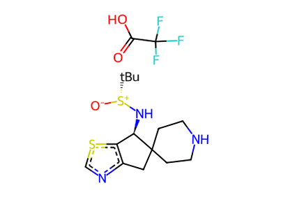 CC(C)(C)[S@@+]([O-])N[C@@H]1c2scnc2CC12CCNCC2.O=C(O)C(F)(F)F